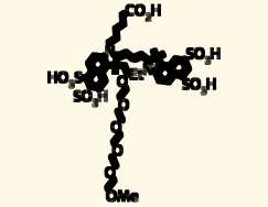 CC[N+]1=C(/C=C/C=C2/N(CCCCCC(=O)O)c3ccc4c(S(=O)(=O)O)cc(S(=O)(=O)O)cc4c3C2(C)CCOCCOCCOCCOCCOCCOC)C(C)(C)c2c1ccc1c(S(=O)(=O)O)cc(S(=O)(=O)O)cc21